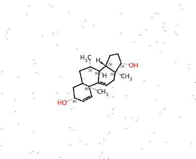 C[C@H]1CC2C[C@@H](O)C=C[C@]2(C)C2=CC[C@]3(C)[C@@H](O)CC[C@H]3[C@@H]21